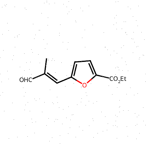 CCOC(=O)c1ccc(C=C(C)C=O)o1